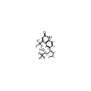 O=c1cc(C(F)(F)F)c2cc(N3CCC[C@@H]3[C@@H](O)C(F)(F)F)ccc2[nH]1